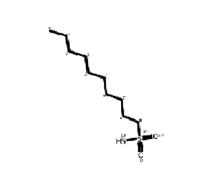 CCCCCCCCCCS(=O)(=O)S